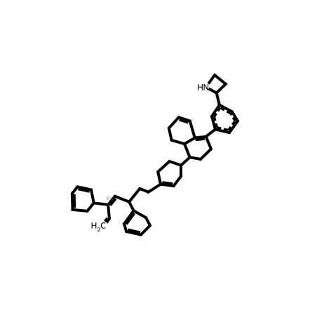 C=C/C(=C\C(CCC1=CCC(C2CCC(c3cccc(C4CCN4)c3)=C3C=CCCC32)CC1)C1=CC=CCC1)C1C=CC=CC1